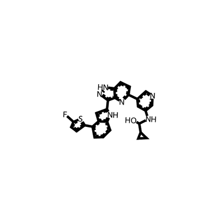 OC(Nc1cncc(-c2ccc3[nH]nc(-c4cc5c(-c6ccc(F)s6)cccc5[nH]4)c3n2)c1)C1CC1